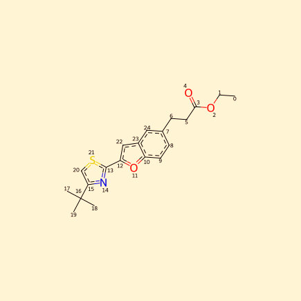 CCOC(=O)CCc1ccc2oc(-c3nc(C(C)(C)C)cs3)cc2c1